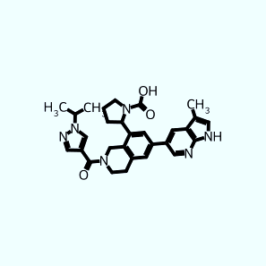 Cc1c[nH]c2ncc(-c3cc4c(c(C5CCCN5C(=O)O)c3)CN(C(=O)c3cnn(C(C)C)c3)CC4)cc12